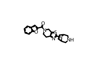 O=C(c1cc2ccccc2o1)N1CCc2nc(N3C4CCC3CNC4)sc2C1